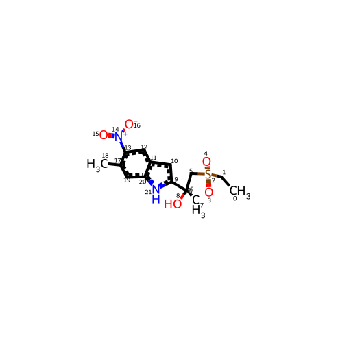 CCS(=O)(=O)C[C@](C)(O)c1cc2cc([N+](=O)[O-])c(C)cc2[nH]1